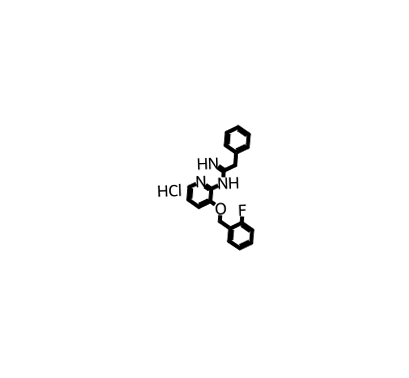 Cl.N=C(Cc1ccccc1)Nc1ncccc1OCc1ccccc1F